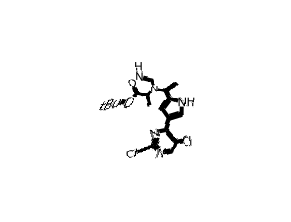 C=C(c1cc(-c2nc(Cl)ncc2Cl)c[nH]1)N(C=N)C(C)C(=O)OC(C)(C)C